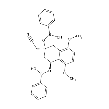 COc1ccc(OC)c2c1C[C@](CC#N)(OB(O)c1ccccc1)C[C@@H]2OB(O)c1ccccc1